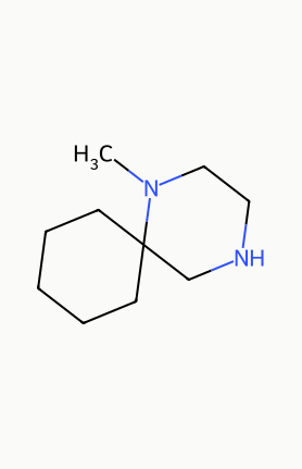 CN1CCNCC12CCCCC2